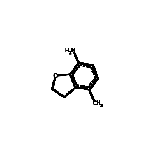 Cc1ccc(N)c2c1CCO2